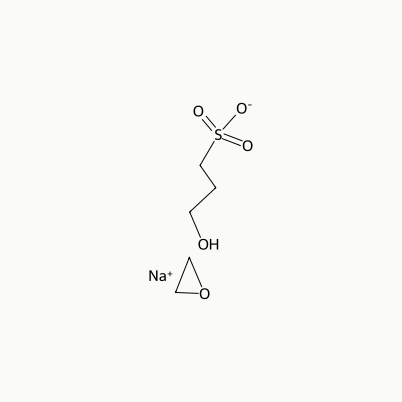 C1CO1.O=S(=O)([O-])CCCO.[Na+]